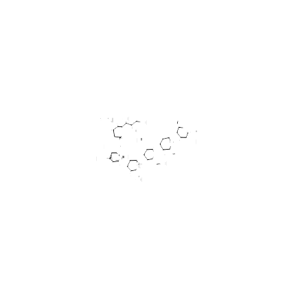 CC(=O)N[C@H]1[C@H](O[C@H]2[C@@H](O)[C@@H](CO)O[C@H](O[C@H]3[C@@H](O)[C@@H](CO)O[C@@H](O[C@H]4[C@H](O)[C@@H](O)[C@H](O)O[C@@H]4CO)[C@@H]3O)[C@@H]2O)O[C@H](CO)[C@H](O)[C@@H]1O[C@@H]1O[C@H](CO[C@]2(C(=O)O)C[C@H](O)[C@@H](NC(C)=O)[C@H]([C@H](O)[C@H](O)CO)O2)[C@H](O)[C@H](O)[C@H]1O